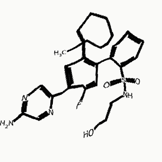 CC1(c2cc(-c3cnc(N)cn3)c(F)cc2-c2ccccc2S(=O)(=O)NCCO)CCCCC1